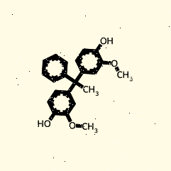 COc1cc(C(C)(c2ccccc2)c2ccc(O)c(OC)c2)ccc1O